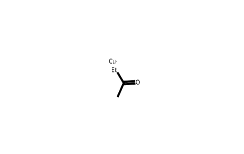 CCC(C)=O.[Cu]